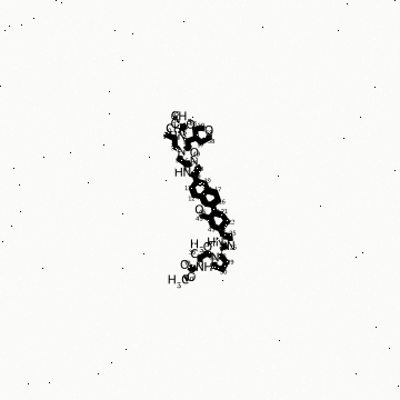 C=CCCN(Cc1ncc(-c2ccc3c4c(ccc3c2)-c2ccc(-c3cnc([C@@H]5CCCN5C(=O)[C@H](C)NC(=O)OC)[nH]3)cc2CO4)[nH]1)C(=O)[C@@H](NC(=O)OC)C1CCOCC1